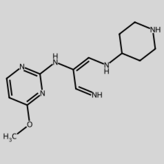 COc1ccnc(N/C(C=N)=C/NC2CCNCC2)n1